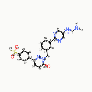 CN(C)/C=N/c1cnc(-c2cccc(Cn3nc(-c4ccc(S(C)(=O)=O)cc4)ccc3=O)c2)nc1